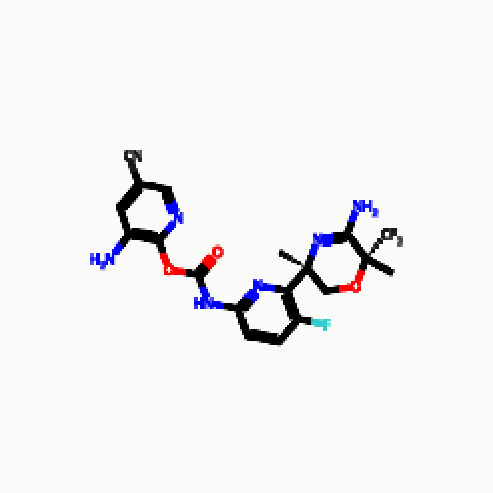 C[C@@]1(c2nc(NC(=O)Oc3ncc(C#N)cc3N)ccc2F)CO[C@@](C)(C(F)(F)F)C(N)=N1